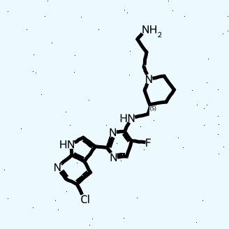 NCCCN1CCC[C@@H](CNc2nc(-c3c[nH]c4ncc(Cl)cc34)ncc2F)C1